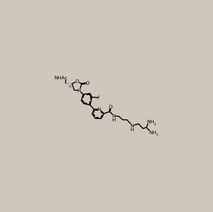 CC(=O)NC[C@H]1CN(c2ccc(-c3cccc(C(=O)NCCCNCCC(N)N)n3)c(F)c2)C(=O)O1